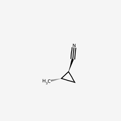 C[C@H]1C[C@@H]1C#N